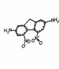 Nc1cc2c(c([N+](=O)[O-])c1)-c1c(cc(N)cc1[N+](=O)[O-])C2